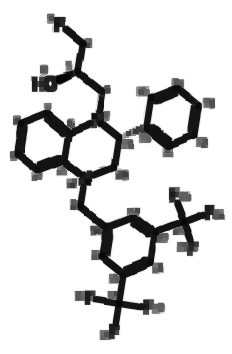 O[C@@H](CF)CN1c2ccccc2N(Cc2cc(C(F)(F)F)cc(C(F)(F)F)c2)C[C@H]1c1ccccc1